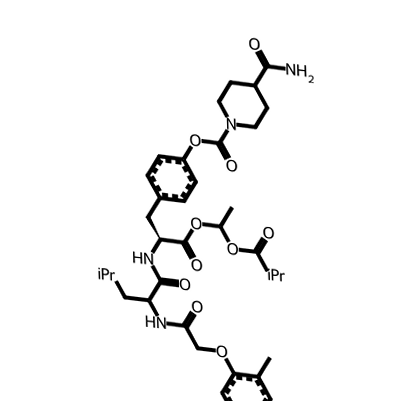 Cc1ccccc1OCC(=O)NC(CC(C)C)C(=O)N[C@@H](Cc1ccc(OC(=O)N2CCC(C(N)=O)CC2)cc1)C(=O)OC(C)OC(=O)C(C)C